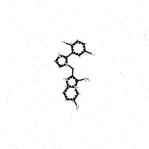 Cc1c(Cn2ccnc2-c2cc(F)ccc2F)nc2ccc(Cl)cn12